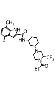 CCC(=O)N1CCN([C@H]2CCC[C@@H](NC(=O)c3cc4c(F)ccc(C)c4[nH]3)C2)C[C@H]1C(F)(F)F